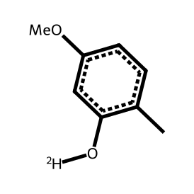 [2H]Oc1cc(OC)ccc1C